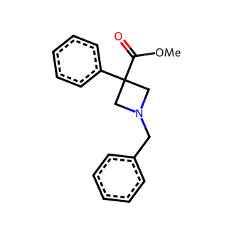 COC(=O)C1(c2ccccc2)CN(Cc2ccccc2)C1